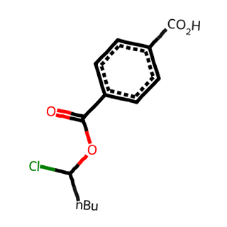 CCCCC(Cl)OC(=O)c1ccc(C(=O)O)cc1